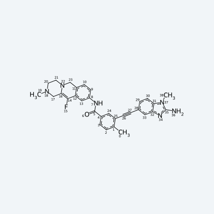 Cc1ccc(C(=O)Nc2ccc3c(c2)C(F)=C2CN(C)CCN2C3)cc1C#Cc1ccc2c(c1)nc(N)n2C